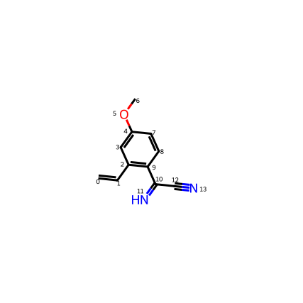 C=Cc1cc(OC)ccc1C(=N)C#N